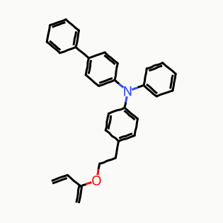 C=CC(=C)OCCc1ccc(N(c2ccccc2)c2ccc(-c3ccccc3)cc2)cc1